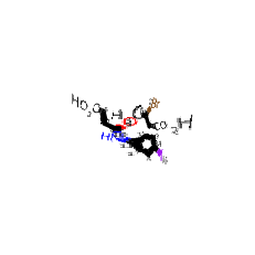 CC(Br)CC(=O)O.O=C(O)C=CC(=O)Nc1ccc(I)cc1